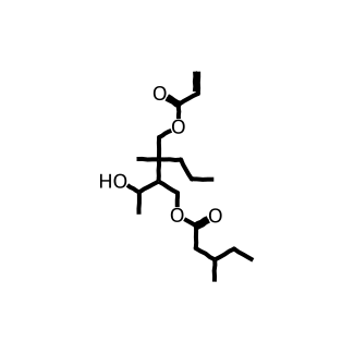 C=CC(=O)OCC(C)(CCC)C(COC(=O)CC(C)CC)C(C)O